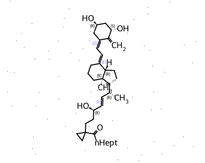 C=C1/C(=C\C=C2/CCC[C@]3(C)[C@@H]([C@H](C)/C=C/[C@H](O)CCC4(C(=O)CCCCCCC)CC4)CC[C@@H]23)C[C@@H](O)C[C@@H]1O